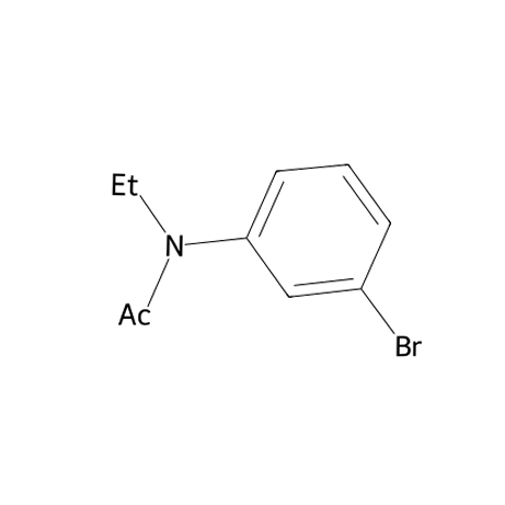 CCN(C(C)=O)c1cccc(Br)c1